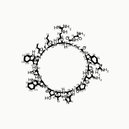 CCCC[C@H]1C(=O)N(C)[C@@H](CCCC)C(=O)N[C@@H](CCCNC(=N)N)C(=O)N[C@H](C(=O)NCC(N)=O)CSCC(=O)N[C@@H](Cc2ccc(N=C(N)N)cc2)C(=O)N(C)[C@@H](C)C(=O)NC(CC(N)=O)C(=O)N2CCC[C@H]2C(=O)N[C@@H](Cc2cnc[nH]2)C(=O)N[C@@H](CC(C)C)C(=O)N2C[C@H](O)CC2C(=O)N[C@@H](Cc2c[nH]c3ccccc23)C(=O)N[C@@H](CO)C(=O)N[C@@H](Cc2c[nH]c3ccccc23)C(=O)N1C